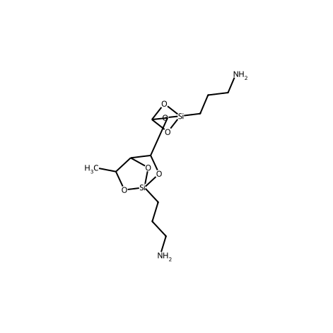 CC1O[Si]2(CCCN)OC1C(C1O[Si]3(CCCN)OC1O3)O2